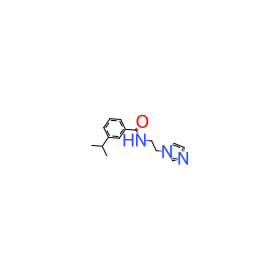 CC(C)c1cccc(C(=O)NCCn2ccnc2)c1